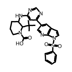 CC(C)(C)C1C(Nc2cc(-c3cnc4c(ccn4S(=O)(=O)c4ccccc4)c3)ncn2)CCCN1C(=O)O